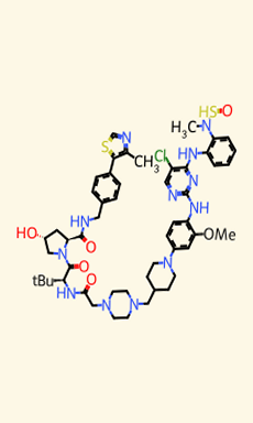 COc1cc(N2CCC(CN3CCN(CC(=O)N[C@H](C(=O)N4C[C@H](O)C[C@H]4C(=O)NCc4ccc(-c5scnc5C)cc4)C(C)(C)C)CC3)CC2)ccc1Nc1ncc(Cl)c(Nc2ccccc2N(C)[SH]=O)n1